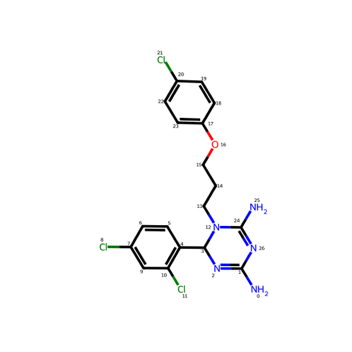 NC1=NC(c2ccc(Cl)cc2Cl)N(CCCOc2ccc(Cl)cc2)C(N)=N1